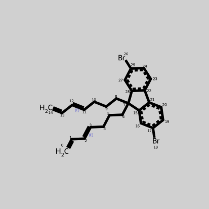 C=C/C=C/CCCC1(CCC/C=C/C=C)c2cc(Br)ccc2-c2ccc(Br)cc21